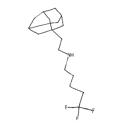 FC(F)(F)CCCCNCCC12CC3CC(CC(C3)C1)C2